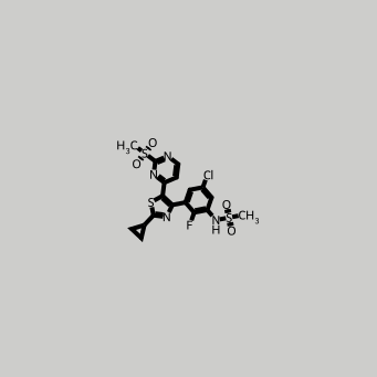 CS(=O)(=O)Nc1cc(Cl)cc(-c2nc(C3CC3)sc2-c2ccnc(S(C)(=O)=O)n2)c1F